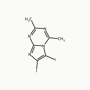 Cc1nc(C)n2c(I)c(I)nc2n1